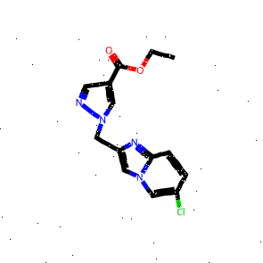 CCOC(=O)c1cnn(Cc2cn3cc(Cl)ccc3n2)c1